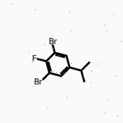 CC(C)c1cc(Br)c(F)c(Br)c1